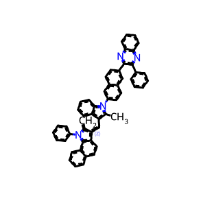 C=c1/c(=C\c2c(C)n(-c3ccc4cc(-c5nc6ccccc6nc5-c5ccccc5)ccc4c3)c3ccccc23)c2ccc3ccccc3c2n1-c1ccccc1